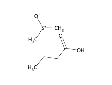 CCCC(=O)O.C[S+](C)[O-]